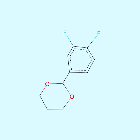 Fc1ccc(C2OCCCO2)cc1F